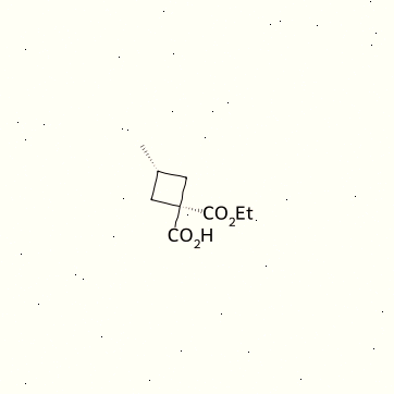 CCOC(=O)[C@]1(C(=O)O)C[C@H](C)C1